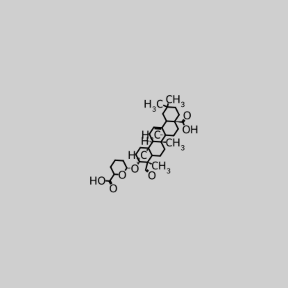 CC1(C)CC[C@]2(C(=O)O)CC[C@]3(C)C(=CC[C@@H]4[C@@]5(C)CC[C@H](O[C@H]6CCCC(C(=O)O)O6)[C@@](C)(C=O)C5CC[C@]43C)C2C1